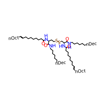 CCCCCCCC/C=C/CCCCCCCC(=O)NC(CCSSCC(NC(=O)CCCCCCC/C=C/CCCCCCCC)C(=O)NCCCCCCCCCCCCCCCC)C(=O)NCCCCCCCCCCCCCCCC